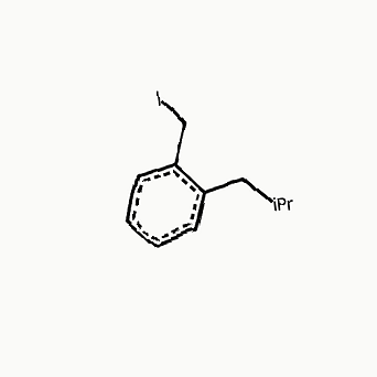 CC(C)Cc1ccccc1CI